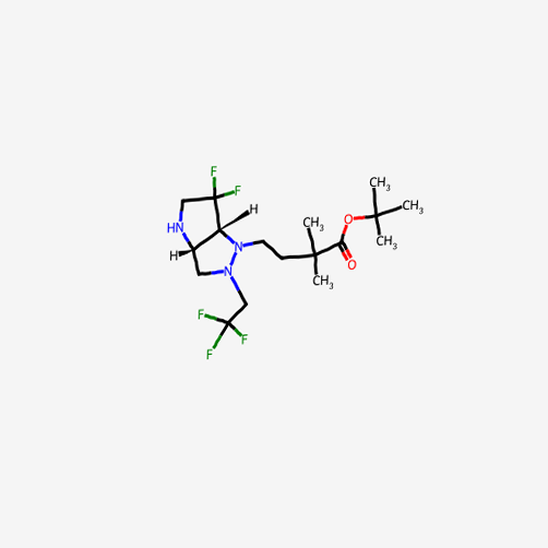 CC(C)(C)OC(=O)C(C)(C)CCN1[C@@H]2[C@H](CN1CC(F)(F)F)NCC2(F)F